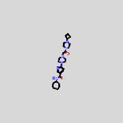 O=C(NC1CCCCCC1)c1ccc(N2CCN(CC(=O)N3CCN(C4CCC4)CC3)CC2)nc1